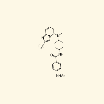 CC(=O)Nc1ccc(C(=O)N[C@H]2CC[C@@H](N(C)c3cccc4nc(C(F)(F)F)cn34)CC2)cc1